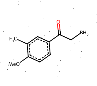 BCC(=O)c1ccc(OC)c(C(F)(F)F)c1